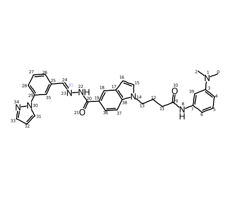 CN(C)c1cccc(NC(=O)CCCn2ccc3cc(C(=O)N/N=C/c4cccc(-n5cccn5)c4)ccc32)c1